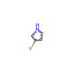 Fc1c[c][nH]c1